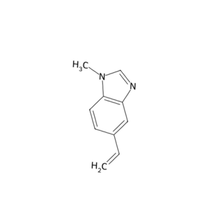 C=Cc1ccc2c(c1)ncn2C